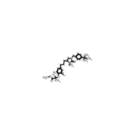 COC(=O)C(C)(C)Oc1ccc(CCCC2CN(Cc3ccc(C(C)(C)C)cc3)C(=O)N2C)cc1I